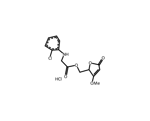 COC1=CC(=O)OC1COC(=O)CNc1ccccc1Cl.Cl